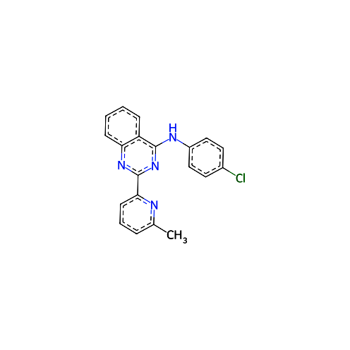 Cc1cccc(-c2nc(Nc3ccc(Cl)cc3)c3ccccc3n2)n1